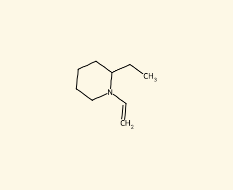 C=CN1CCCCC1CC